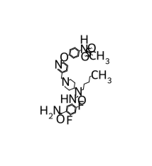 CCCCCN(C(=O)Nc1cc(C(N)=O)c(F)cc1F)C1CCN(Cc2ccc(Oc3ccc(NS(C)(=O)=O)cc3)nc2)CC1